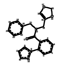 O=C(c1ccccc1-n1cccn1)N(CC1=COCO1)Cc1ccccc1